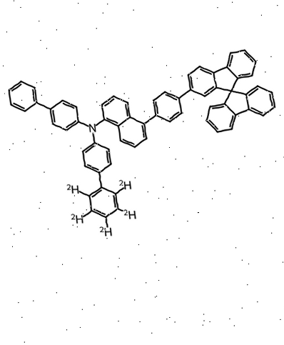 [2H]c1c([2H])c([2H])c(-c2ccc(N(c3ccc(-c4ccccc4)cc3)c3cccc4c(-c5ccc(-c6ccc7c(c6)C6(c8ccccc8-c8ccccc86)c6ccccc6-7)cc5)cccc34)cc2)c([2H])c1[2H]